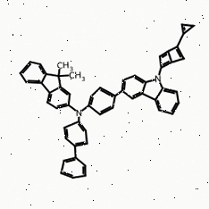 CC1(C)c2ccccc2-c2ccc(N(c3ccc(-c4ccccc4)cc3)c3ccc(-c4ccc5c(c4)c4ccccc4n5-c4cc5c(C6=CC6)cc4-5)cc3)cc21